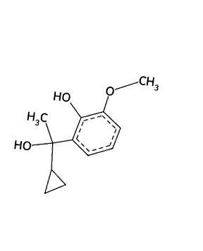 COc1cccc(C(C)(O)C2CC2)c1O